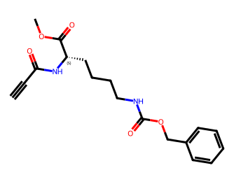 C#CC(=O)N[C@@H](CCCCNC(=O)OCc1ccccc1)C(=O)OC